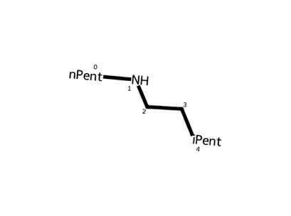 CCCCCNCCC(C)CCC